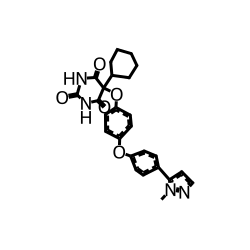 Cn1nccc1-c1ccc(Oc2ccc(OC3(C4CCCCC4)C(=O)NC(=O)NC3=O)cc2)cc1